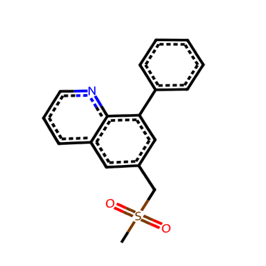 CS(=O)(=O)Cc1cc(-c2ccccc2)c2ncccc2c1